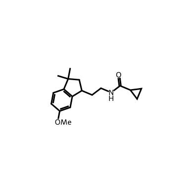 COc1ccc2c(c1)C(CCNC(=O)C1CC1)CC2(C)C